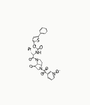 CC(C)CC(NC(=O)Oc1ccc(-c2ccccc2)s1)C(=O)N1CCC2C1C(=O)CN2S(=O)(=O)c1ccc[n+]([O-])c1